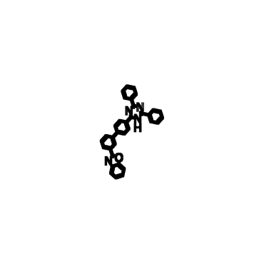 c1ccc(C2=NC(c3ccc(-c4cccc(-c5nc6ccccc6o5)c4)cc3)NC(c3ccccc3)=N2)cc1